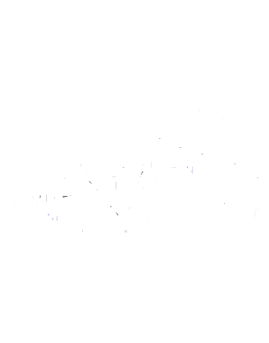 C[C@]12C=CC(=O)NC1CC[C@@H]1[C@H]2CC[C@]2(C)C(C(=O)NC3(c4ccc(F)cc4)CCCCC3)CC[C@@H]12